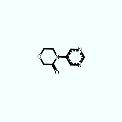 O=C1COCCN1c1cncnc1